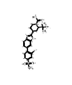 CC(C)(C)C1CC(c2nc3ccc(-c4ccc(S(C)(=O)=O)cc4F)cc3o2)CCN1C(=O)O